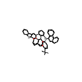 CC(C)(C)c1ccc(N(c2cccc(-c3ccc4sc5ccccc5c4c3)c2-c2cccc3ccccc23)c2cc3ccccc3c3ccccc23)cc1